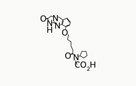 O=C(O)CN(C(=O)CCCCCOc1cccc2c1N=C1NC(=O)CN1C2)C1CCCC1